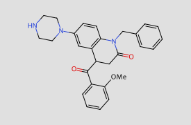 COc1ccccc1C(=O)C1CC(=O)N(Cc2ccccc2)c2ccc(N3CCNCC3)cc21